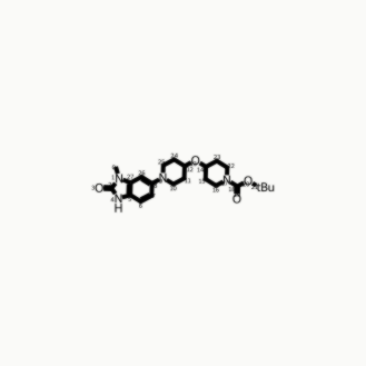 Cn1c(=O)[nH]c2ccc(N3CCC(OC4CCN(C(=O)OC(C)(C)C)CC4)CC3)cc21